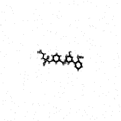 COc1ccccc1-c1cc(C)nc(Nc2cccc(CS(=O)(=O)CCO)c2)n1